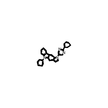 C1=CCCC(c2ncc(-n3ccc4cc5c(cc43)c3ccccc3n5-c3ccccc3)cn2)=C1